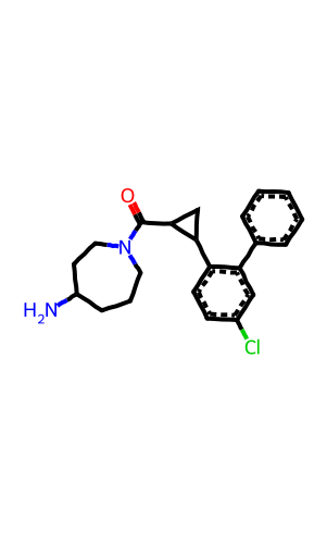 NC1CCCN(C(=O)C2CC2c2ccc(Cl)cc2-c2ccccc2)CC1